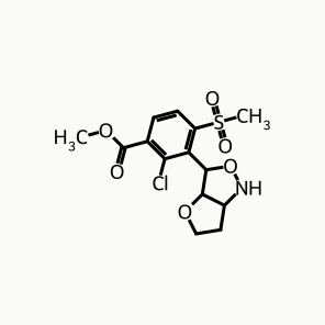 COC(=O)c1ccc(S(C)(=O)=O)c(C2ONC3CCOC32)c1Cl